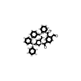 O=Cc1ccc(C(=O)N2CC(P(c3ccccc3)c3ccccc3)CC2CP(c2ccccc2)c2ccccc2)cc1C=O